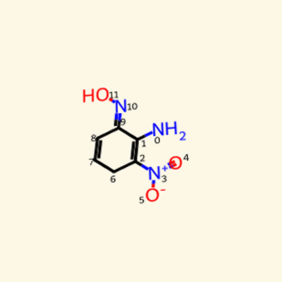 NC1=C([N+](=O)[O-])CC=CC1=NO